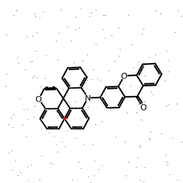 O=c1c2ccccc2oc2cc(N3c4ccccc4C4(c5ccccc5Oc5ccccc54)c4ccccc43)ccc12